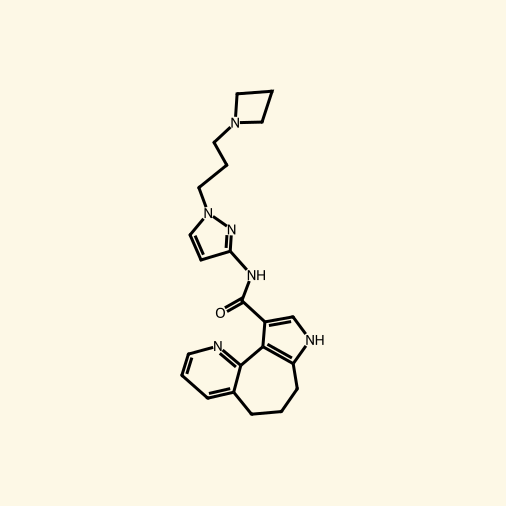 O=C(Nc1ccn(CCCN2CCC2)n1)c1c[nH]c2c1-c1ncccc1CCC2